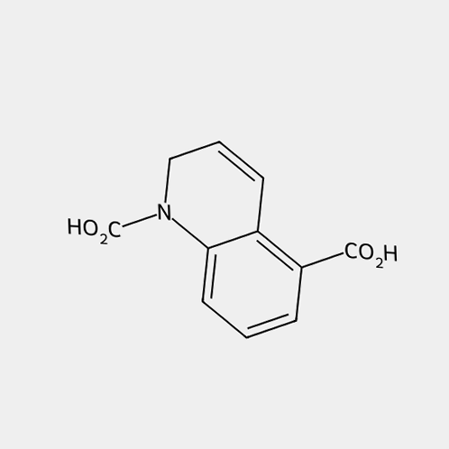 O=C(O)c1cccc2c1C=CCN2C(=O)O